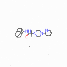 CC(C)(C(=O)NC1C2CC3CC(C2)CC1C3)N1CCN(c2ccccn2)CC1